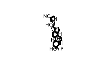 CCC[C@@]1(O)CC[C@H]2[C@H](CC[C@@H]3[C@@H]2CC[C@@]2(C)[C@H]3CC[C@@H]2[C@](C)(O)Cn2cc(C#N)cn2)C1